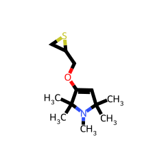 CN1C(C)(C)C=C(OCC2CS2)C1(C)C